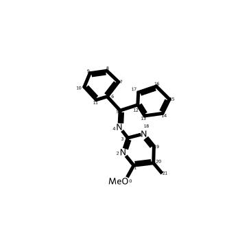 COc1nc(N=C(c2ccccc2)c2ccccc2)ncc1C